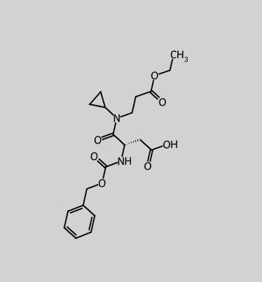 CCOC(=O)CCN(C(=O)[C@H](CC(=O)O)NC(=O)OCc1ccccc1)C1CC1